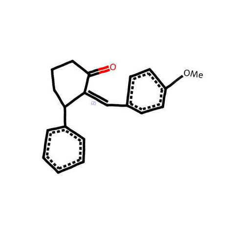 COc1ccc(/C=C2\C(=O)CCCC2c2ccccc2)cc1